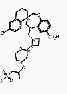 CC(CS(N)(=O)=O)O[C@H]1CCO[C@H]([C@@H]2CC[C@H]2CN2C[C@@]3(CCCc4cc(Cl)ccc43)COc3ccc(C(=O)O)cc32)C1